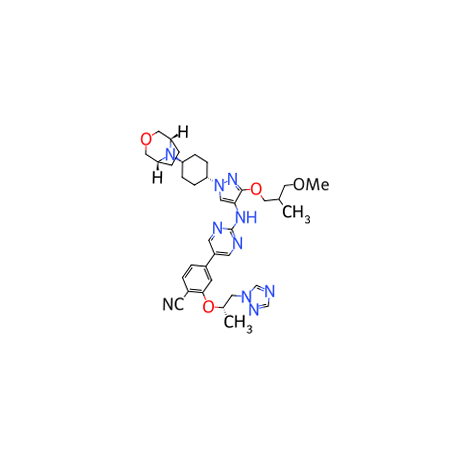 COCC(C)COc1nn([C@H]2CC[C@H](N3[C@@H]4CC[C@H]3COC4)CC2)cc1Nc1ncc(-c2ccc(C#N)c(O[C@@H](C)Cn3cncn3)c2)cn1